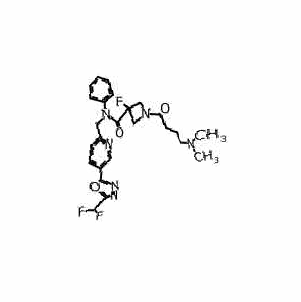 CN(C)CCCC(=O)N1CC(F)(C(=O)N(Cc2ccc(-c3nnc(C(F)F)o3)cn2)c2ccccc2)C1